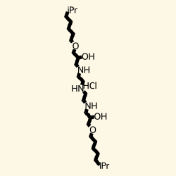 CC(C)CCCCCOCC(O)CNCCNCCNCC(O)COCCCCCC(C)C.Cl